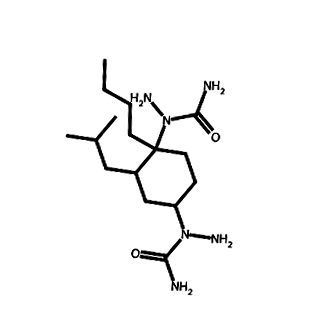 CCCCC1(N(N)C(N)=O)CCC(N(N)C(N)=O)CC1CC(C)C